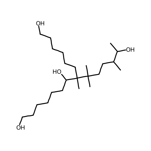 CC(O)C(C)CCC(C)(C)C(C)(CCCCCCO)C(O)CCCCCCO